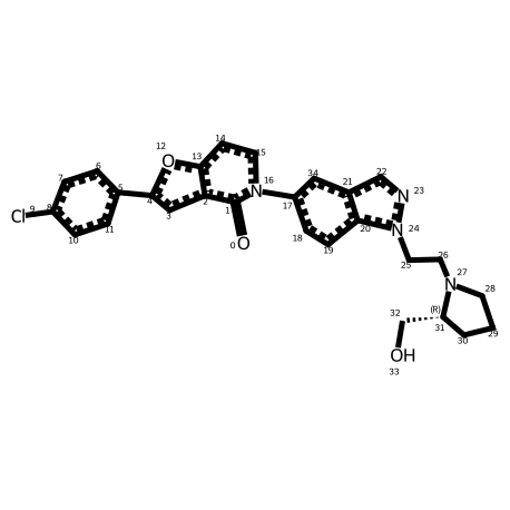 O=c1c2cc(-c3ccc(Cl)cc3)oc2ccn1-c1ccc2c(cnn2CCN2CCC[C@@H]2CO)c1